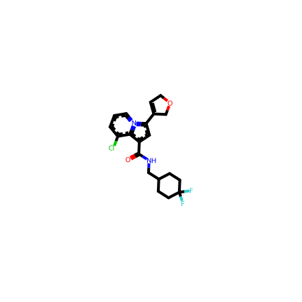 O=C(NCC1CCC(F)(F)CC1)c1cc(C2=CCOC2)n2cccc(Cl)c12